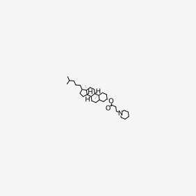 CC(C)CCCC1CC[C@H]2[C@@H]3CCC4C[C@@H](OC(=O)CCN5CCCCC5)CC[C@]4(C)[C@H]3CC[C@]12C